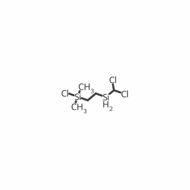 C[Si](C)(Cl)CC[SiH2]C(Cl)Cl